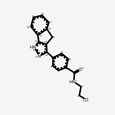 O=C(NCCCl)c1ccc(-c2n[nH]c3c2Cc2ccccc2-3)cc1